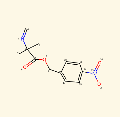 C=NC(C)(C)C(=O)OCc1ccc([N+](=O)[O-])cc1